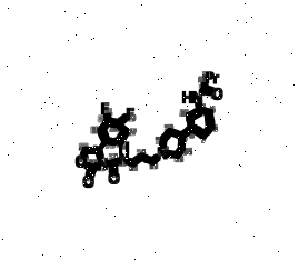 CC(C)C(=O)Nc1cccc(C2CCN(CCCNC(=O)N3C(=O)OC[C@H]3c3ccc(F)c(F)c3)CC2)c1